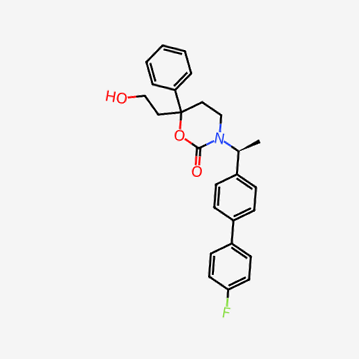 C[C@@H](c1ccc(-c2ccc(F)cc2)cc1)N1CCC(CCO)(c2ccccc2)OC1=O